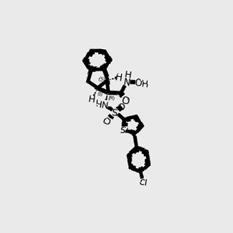 O=C(NO)[C@]1(NS(=O)(=O)c2ccc(-c3ccc(Cl)cc3)s2)[C@@H]2c3ccccc3C[C@@H]21